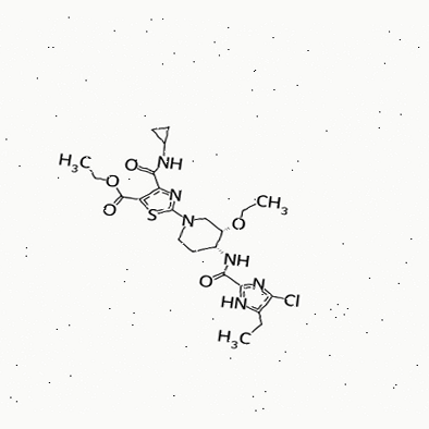 CCOC(=O)c1sc(N2CC[C@@H](NC(=O)c3nc(Cl)c(CC)[nH]3)[C@@H](OCC)C2)nc1C(=O)NC1CC1